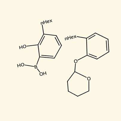 CCCCCCc1cccc(B(O)O)c1O.CCCCCCc1ccccc1OC1CCCCO1